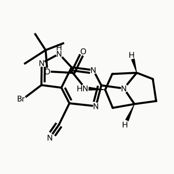 CC(C)(C)OC(=O)N[C@@H]1C[C@H]2CC[C@@H](C1)N2c1nc(C#N)c2c(Br)n[nH]c2n1